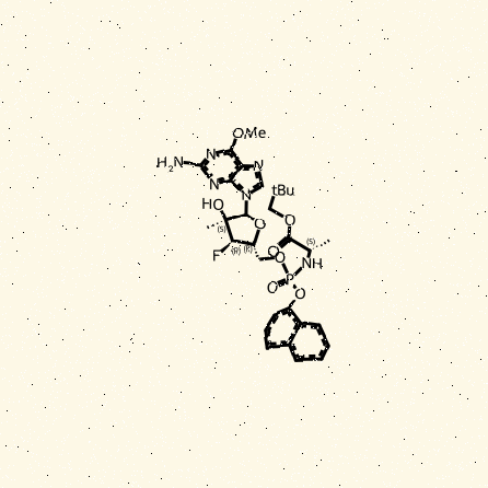 COc1nc(N)nc2c1ncn2C1O[C@H](COP(=O)(N[C@@H](C)C(=O)OCC(C)(C)C)Oc2cccc3ccccc23)[C@@H](F)[C@@]1(C)O